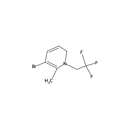 CC1=C(Br)C=CCN1CC(F)(F)F